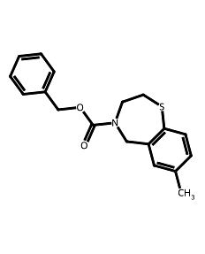 Cc1ccc2c(c1)CN(C(=O)OCc1ccccc1)CCS2